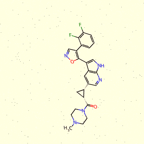 CN1CCN(C(=O)[C@@H]2C[C@@H]2c2cnc3[nH]cc(-c4oncc4-c4cccc(F)c4F)c3c2)CC1